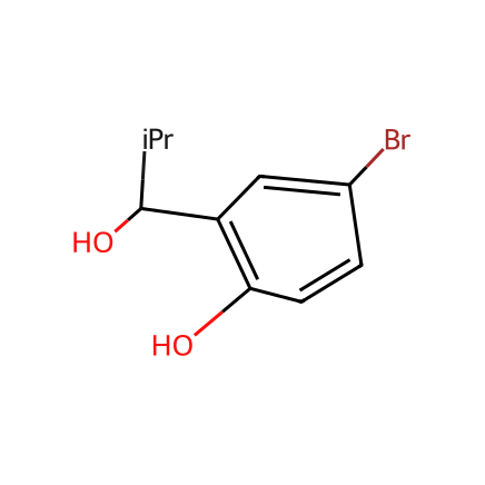 CC(C)C(O)c1cc(Br)ccc1O